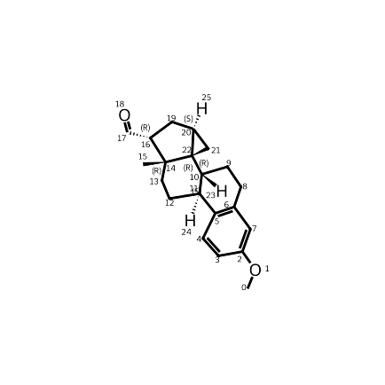 COc1ccc2c(c1)CC[C@@H]1[C@@H]2CC[C@]2(C)[C@H](C=O)C[C@H]3C[C@@]312